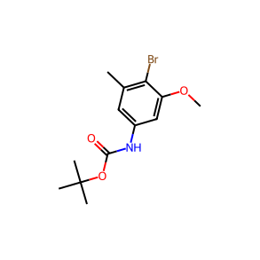 COc1cc(NC(=O)OC(C)(C)C)cc(C)c1Br